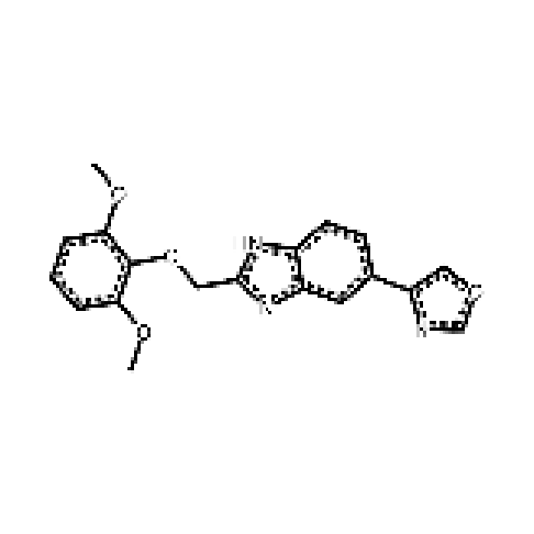 COc1cccc(OC)c1OCc1nc2cc(-c3cocn3)ccc2[nH]1